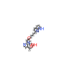 O=CC(CO)(c1cnccc1C1CC1)N1CC[C@@H](OCCCCCc2ccc3c(n2)NCCC3)C1